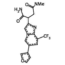 CNC(=O)CC(C(N)=O)c1cn2cc(-c3ccoc3)cc(C(F)(F)F)c2n1